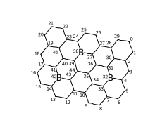 C1CC2CC3CCC4CCC5C6CCC7CCC8CC9CCCC%10C%11CCC%12C(C1)C2C1B3C4C5C2C1C%12B%11C1C(C8B7C6C12)C9%10